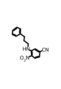 N#Cc1ccc([N+](=O)[O-])c(NCCCc2ccccc2)c1